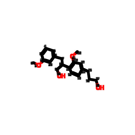 COc1[c]ccc(CC(CO)c2ccc(CCCO)cc2OC)c1